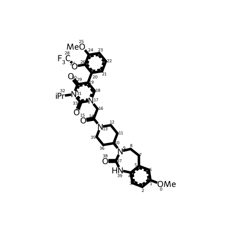 COc1ccc2c(c1)CCN(C1CCN(C(=O)Cn3cc(-c4cccc(OC)c4OC(F)(F)F)c(=O)n(C(C)C)c3=O)CC1)C(=O)N2